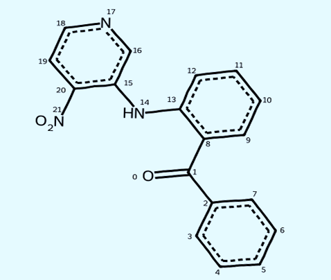 O=C(c1ccccc1)c1ccccc1Nc1cnccc1[N+](=O)[O-]